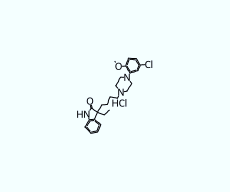 CCC1(CCCCN2CCN(c3cc(Cl)ccc3OC)CC2)C(=O)Nc2ccccc21.Cl